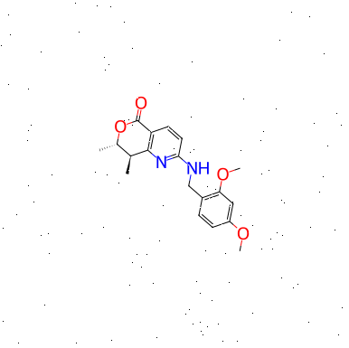 COc1ccc(CNc2ccc3c(n2)[C@@H](C)[C@H](C)OC3=O)c(OC)c1